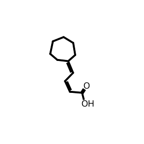 O=C(O)/C=C\C=C1CCCCCC1